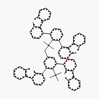 CC(C)(C)c1c(-c2cccc3c2oc2ccccc23)cc(CC(C)(C)c2c(-c3cccc4oc5ccccc5c34)cccc2-c2cccc3sc4ccccc4c23)cc1-c1cccc2c1sc1ccccc12